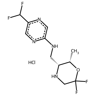 C[C@@H]1OC(F)(F)CN[C@@H]1CNc1cnc(C(F)F)cn1.Cl